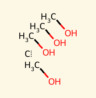 CO.CO.CO.CO.[C]